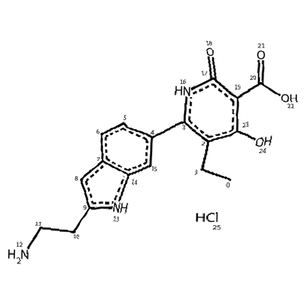 CCc1c(-c2ccc3cc(CCN)[nH]c3c2)[nH]c(=O)c(C(=O)O)c1O.Cl